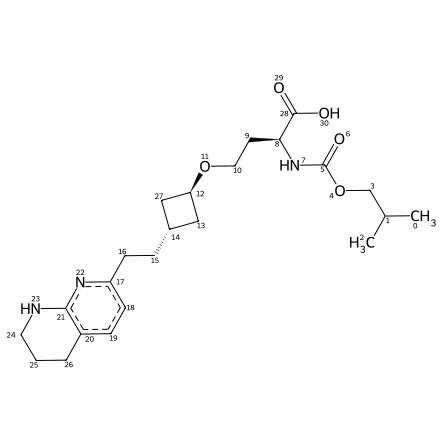 CC(C)COC(=O)N[C@@H](CCO[C@H]1C[C@H](CCc2ccc3c(n2)NCCC3)C1)C(=O)O